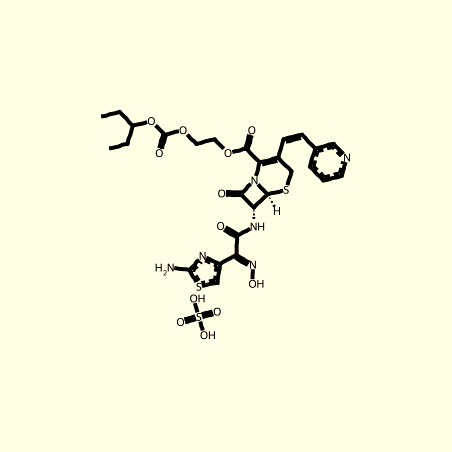 CCC(CC)OC(=O)OCCOC(=O)C1=C(/C=C\c2cccnc2)CS[C@H]2[C@H](NC(=O)C(=NO)c3csc(N)n3)C(=O)N12.O=S(=O)(O)O